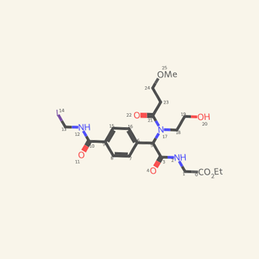 CCOC(=O)CNC(=O)C(c1ccc(C(=O)NCI)cc1)N(CCO)C(=O)CCOC